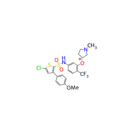 COc1ccc(-c2cc(Cl)sc2S(=O)(=O)Nc2ccc(C(F)(F)F)c(O[C@@H]3CCN(C)C3)c2)cc1